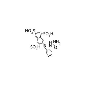 NC(=O)Nc1c[c]ccc1N=Nc1cc2c(S(=O)(=O)O)cc(S(=O)(=O)O)cc2cc1S(=O)(=O)O